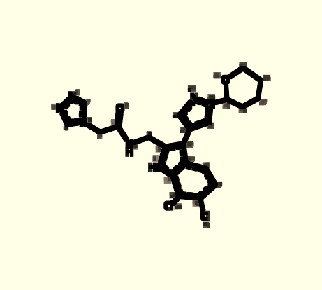 O=C(Cn1cnnc1)NCc1[nH]c2c(Cl)c(Cl)ccc2c1-c1cnn(C2CCCCO2)c1